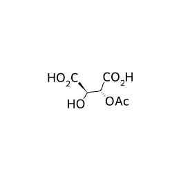 CC(=O)O[C@@H](C(=O)O)[C@@H](O)C(=O)O